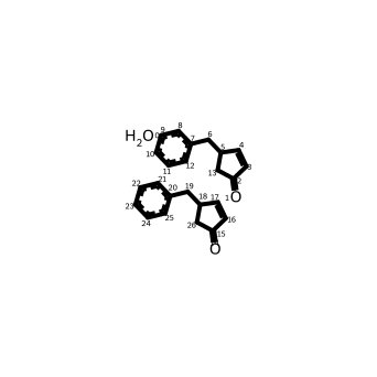 O.O=C1C=CC(Cc2ccccc2)C1.O=C1C=CC(Cc2ccccc2)C1